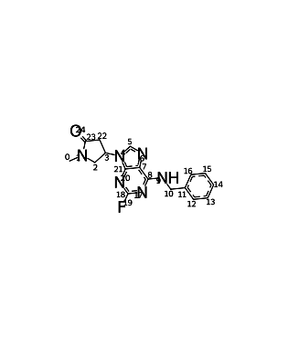 CN1CC(n2cnc3c(NCc4ccccc4)nc(F)nc32)CC1=O